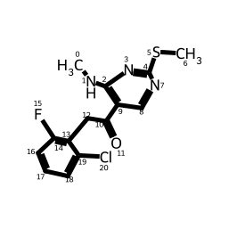 CNc1nc(SC)ncc1C(=O)Cc1c(F)cccc1Cl